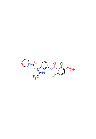 O=C(Nc1cccc2c1nc(C(F)(F)F)n2CC(=O)N1CCOCC1)c1c(Cl)ccc(CO)c1Cl